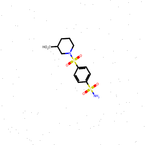 NS(=O)(=O)c1ccc(S(=O)(=O)N2CCCC(C(=O)O)C2)cc1